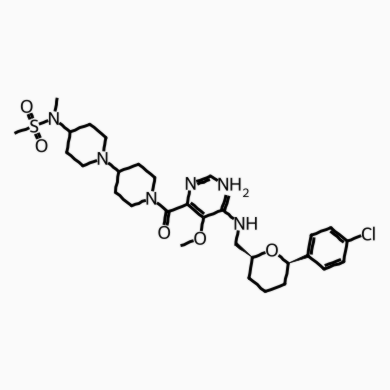 C=C(NC[C@@H]1CCC[C@H](c2ccc(Cl)cc2)O1)/C(OC)=C(\N=C/N)C(=O)N1CCC(N2CCC(N(C)S(C)(=O)=O)CC2)CC1